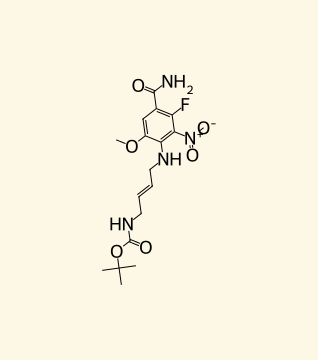 COc1cc(C(N)=O)c(F)c([N+](=O)[O-])c1NC/C=C/CNC(=O)OC(C)(C)C